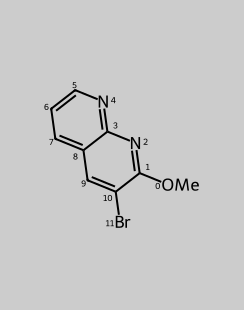 COc1nc2ncccc2cc1Br